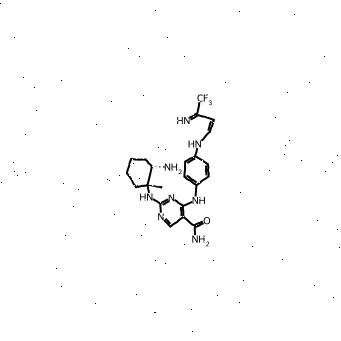 C[C@@]1(Nc2ncc(C(N)=O)c(Nc3ccc(N/C=C\C(=N)C(F)(F)F)cc3)n2)CCCC[C@@H]1N